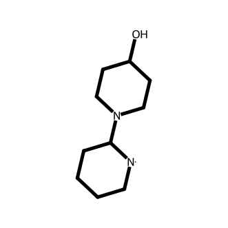 OC1CCN(C2CCCC[N]2)CC1